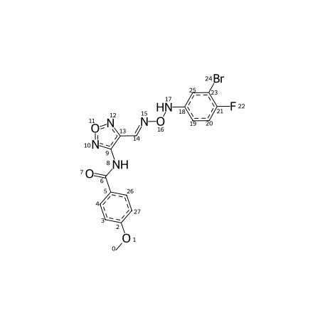 COc1ccc(C(=O)Nc2nonc2/C=N/ONc2ccc(F)c(Br)c2)cc1